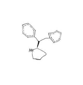 c1ccc(C(c2ccccc2)[C@H]2CCCN2)cc1